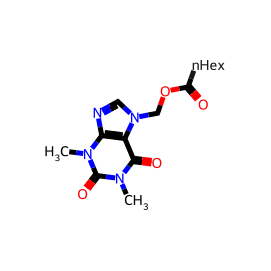 CCCCCCC(=O)OCn1cnc2c1c(=O)n(C)c(=O)n2C